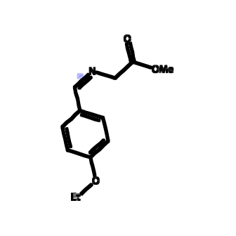 CCOc1ccc(/C=N\CC(=O)OC)cc1